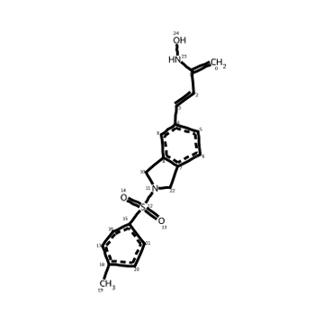 C=C(/C=C/c1ccc2c(c1)CN(S(=O)(=O)c1ccc(C)cc1)C2)NO